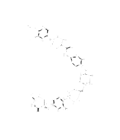 N#Cc1ncc(N2CCC(C(=O)Nc3ccc(OC4CCN(CC5CCN(c6ccc(NC7CCC(=O)NC7=O)cc6F)CC5)CC4)cn3)CC2)cc1C(F)(F)F